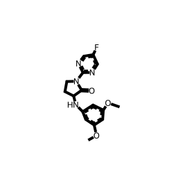 COc1cc(NC2CCN(c3ncc(F)cn3)C2=O)cc(OC)c1